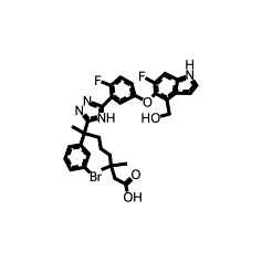 CC(C)(CCCC(C)(c1cccc(Br)c1)c1nnc(-c2cc(Oc3c(F)cc4[nH]ccc4c3CO)ccc2F)[nH]1)CC(=O)O